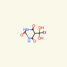 CCC(O)(O)C1C(=O)NC(=O)NC1=O